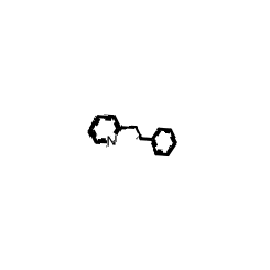 [CH](Cc1ccccn1)c1ccccc1